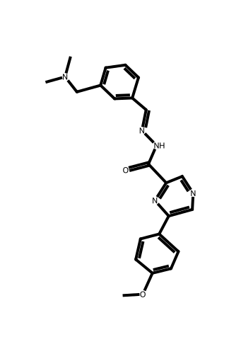 COc1ccc(-c2cncc(C(=O)N/N=C/c3cccc(CN(C)C)c3)n2)cc1